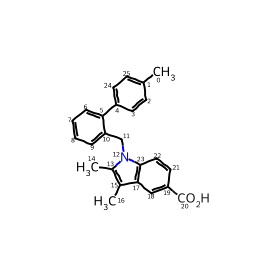 Cc1ccc(-c2ccccc2Cn2c(C)c(C)c3cc(C(=O)O)ccc32)cc1